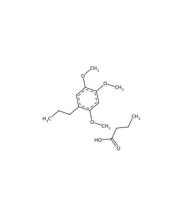 CCCC(=O)O.CCCc1cc(OC)c(OC)cc1OC